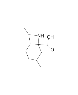 CC1CCC2C(C)NC2(C(=O)O)C1